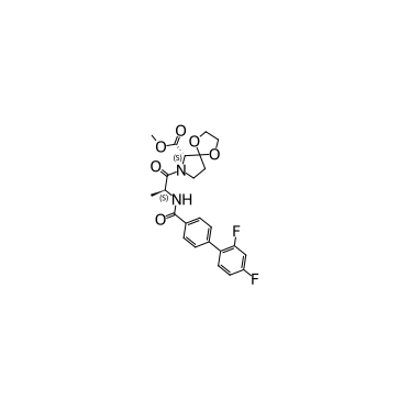 COC(=O)[C@H]1N(C(=O)[C@H](C)NC(=O)c2ccc(-c3ccc(F)cc3F)cc2)CCC12OCCO2